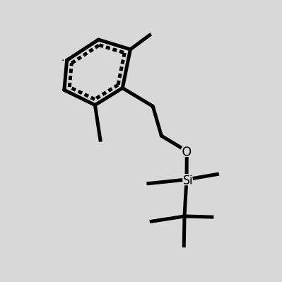 Cc1c[c]cc(C)c1CCO[Si](C)(C)C(C)(C)C